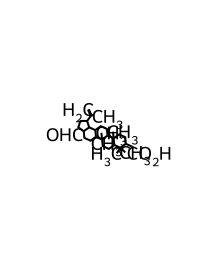 C=C(C)C1CCC2(C=O)CCC3(C)C(CCC4C5(C)CCC(CC(=O)O)C(C)(C)C5CCC43C)C12